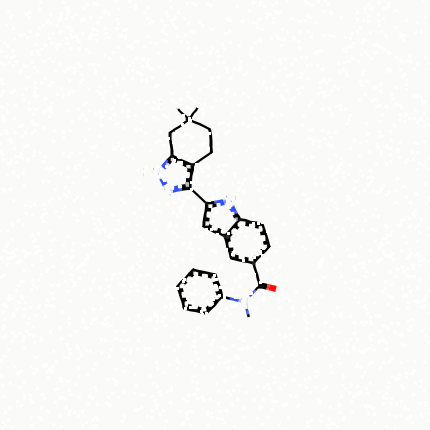 CN(C(=O)c1ccc2[nH]c(-c3n[nH]c4c3CCC(C)(C)C4)cc2c1)c1ccccc1